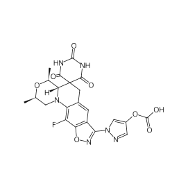 C[C@@H]1CN2c3c(cc4c(-n5cc(OC(=O)O)cn5)noc4c3F)CC3(C(=O)NC(=O)NC3=O)[C@H]2[C@H](C)O1